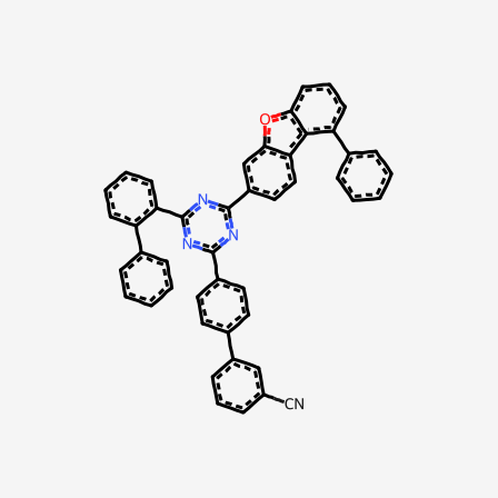 N#Cc1cccc(-c2ccc(-c3nc(-c4ccc5c(c4)oc4cccc(-c6ccccc6)c45)nc(-c4ccccc4-c4ccccc4)n3)cc2)c1